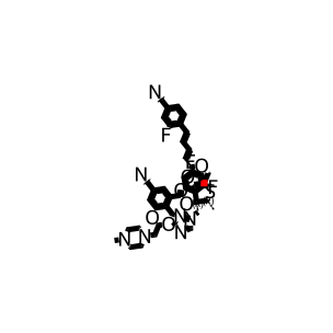 C[C@@H](S[C@H]1CO[C@H](C=CC=Cc2ccc(C#N)cc2F)OC1)[C@@](Cn1cncn1)(OC(=O)c1cc(C#N)ccc1COC(=O)CN1CCN(C)CC1)c1ccc(F)cc1F